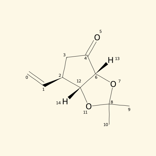 C=C[C@H]1CC(=O)[C@@H]2OC(C)(C)O[C@H]12